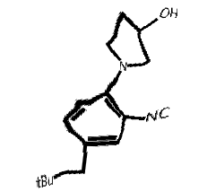 [C-]#[N+]c1cc(CC(C)(C)C)ccc1N1CCC(O)C1